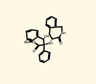 CC(C)(C)OC(=O)[C@@](N[C@@H]1Cc2ccccc2CNC1=O)(c1ccccc1)[C@@H](O)c1ccccc1